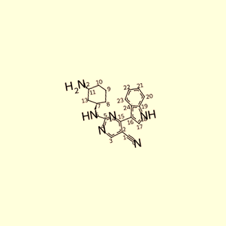 N#Cc1cnc(N[C@@H]2CCC[C@H](N)C2)nc1-c1c[nH]c2ccccc12